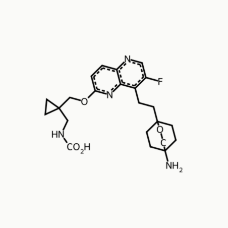 NC12CCC(CCc3c(F)cnc4ccc(OCC5(CNC(=O)O)CC5)nc34)(CC1)OC2